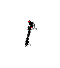 CCc1cc(Nc2ncc(Br)c(Nc3ccc4nc(C)c(C)cc4c3P(C)(C)=O)n2)c(OC)cc1N1CCC(N2CCN(CCC3CCN(c4cc(F)c(C5CCC(=O)NC5=O)c(F)c4)CC3)CC2)CC1